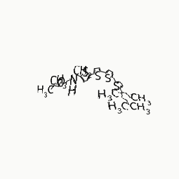 C=C(NCCOCC(C)C)c1ccc(-c2ccc(-c3ccc(-c4ccc(C(C)(CCC)CCC(C)C)s4)s3)s2)s1